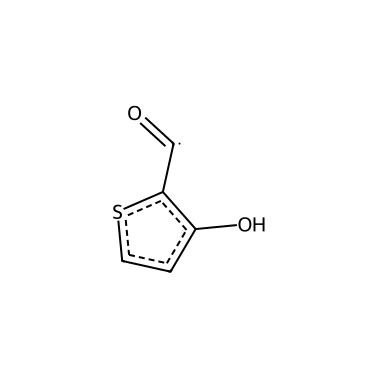 O=[C]c1sccc1O